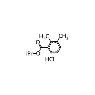 Cc1cccc(C(=O)OC(C)C)c1C.Cl